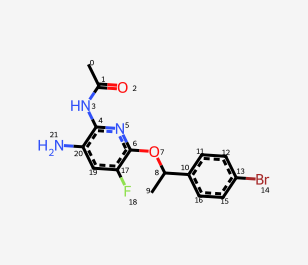 CC(=O)Nc1nc(OC(C)c2ccc(Br)cc2)c(F)cc1N